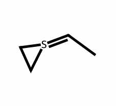 CC=S1CC1